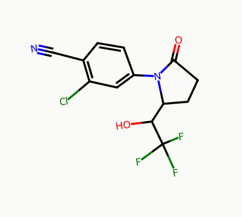 N#Cc1ccc(N2C(=O)CCC2C(O)C(F)(F)F)cc1Cl